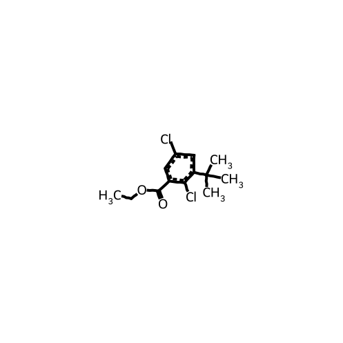 CCOC(=O)c1cc(Cl)cc(C(C)(C)C)c1Cl